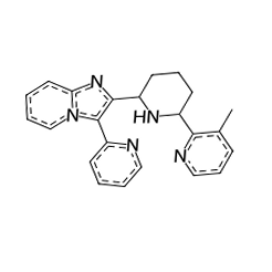 Cc1cccnc1C1CCCC(c2nc3ccccn3c2-c2ccccn2)N1